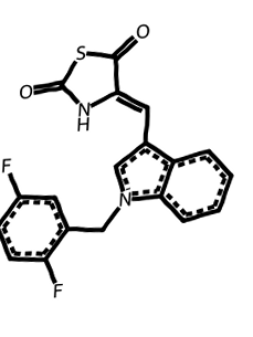 O=C1NC(=Cc2cn(Cc3cc(F)ccc3F)c3ccccc23)C(=O)S1